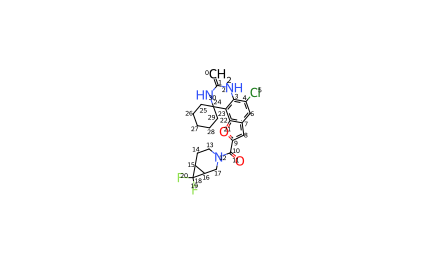 C=C1Nc2c(Cl)cc3cc(C(=O)N4CCC5C(C4)C5(F)F)oc3c2C2(CCCCC2)N1